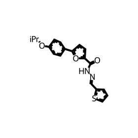 CC(C)Oc1ccc(-c2ccc(C(=O)NN=Cc3cccs3)o2)cc1